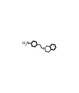 Nc1ccc(CCN2CCc3ccccc3C2)cc1